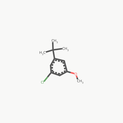 COc1cc(Cl)cc(C(C)(C)C)c1